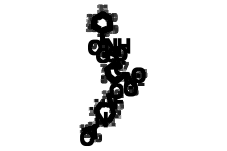 O=C(NS(=O)(=O)c1ccc(OCC2(F)CCN(C3COC3)CC2)c([N+](=O)[O-])c1)c1ccccc1